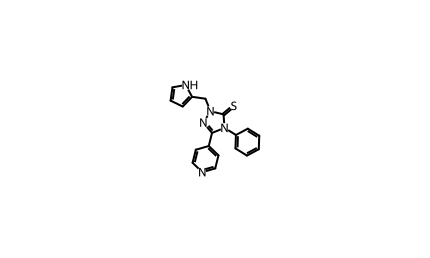 S=c1n(Cc2ccc[nH]2)nc(-c2ccncc2)n1-c1ccccc1